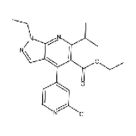 CCOC(=O)c1c(C(C)C)nc2c(cnn2CC)c1-c1ccnc(Cl)c1